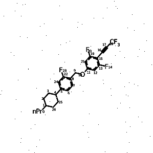 CCCC1CCC(c2ccc(COc3cc(F)c(C#CC(F)(F)F)c(F)c3)c(F)c2)CC1